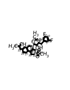 CC(=O)NC(Cc1cc(F)cc(F)c1)C(O)CNCc1cc(CC(C)C)ccc1C1CCN(S(C)(=O)=O)CC1